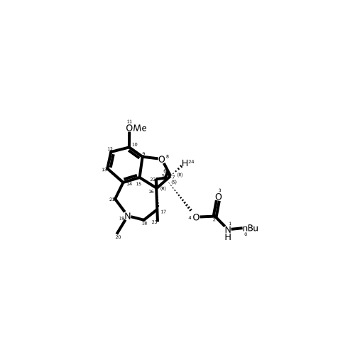 CCCCNC(=O)O[C@H]1C[C@H]2Oc3c(OC)ccc4c3[C@@]2(CCN(C)C4)C1C